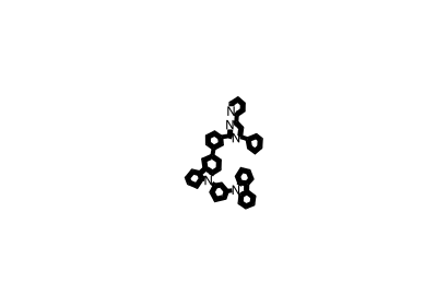 c1ccc(-c2cc(-c3ccccn3)nc(-c3cccc(-c4ccc5c(c4)c4ccccc4n5-c4cccc(-n5c6ccccc6c6ccccc65)c4)c3)n2)cc1